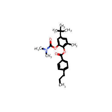 CCCc1ccc(C(=O)Oc2c(C)cc(C(C)(C)C)cc2OC(=O)N(C)C)cc1